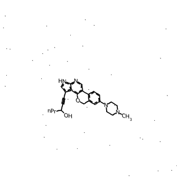 CCCC(O)C#Cc1c[nH]c2ncc3c(c12)OCc1cc(N2CCN(C)CC2)ccc1-3